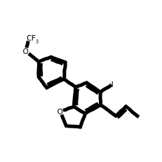 CC=Cc1c(I)cc(-c2ccc(OC(F)(F)F)cc2)c2c1CCO2